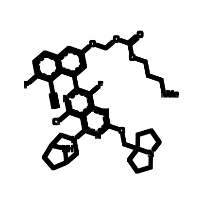 C#Cc1c(F)ccc2cc(OCOC(=O)OCCCNC)cc(-c3nc(Cl)c4c(N5CC6CCC(C5)N6)nc(OCC56CCCN5CCC6)nc4c3F)c12